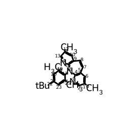 Cc1cnc2c(c1)C=Cc1cc(C)cnc1N2c1c(C)cc(C(C)(C)C)cc1C